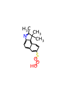 CC1=Nc2ccc3cc(SOOO)ccc3c2C1(C)C